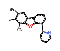 Cc1c(C(C)C)cc2c(oc3c(-c4ccccn4)cccc32)c1C#N